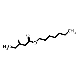 CCCCCCCOC(=O)CC(I)CC